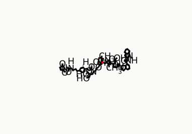 Cc1c(-c2ccc(N3CCc4cccc(C(=O)Nc5nc6ccccc6s5)c4C3)nc2C(=O)O)cnn1CC12CC3(C)CC(C)(C1)CC(OCCN(CC(CO)CO)C(=O)OCc1[c]cc(CCCNC(=O)CN4C(=O)C=CC4=O)cc1)(C3)C2